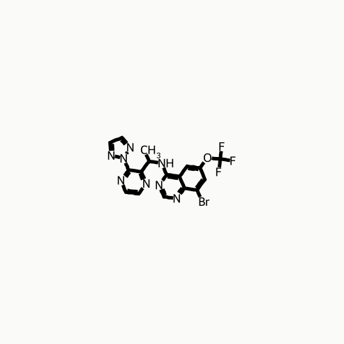 CC(Nc1ncnc2c(Br)cc(OC(F)(F)F)cc12)c1nccnc1-n1nccn1